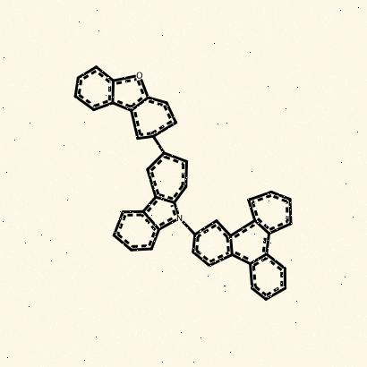 c1ccc2c(c1)oc1ccc(-c3ccc4c(c3)c3ccccc3n4-c3ccc4c5ccccc5c5ccccc5c4c3)cc12